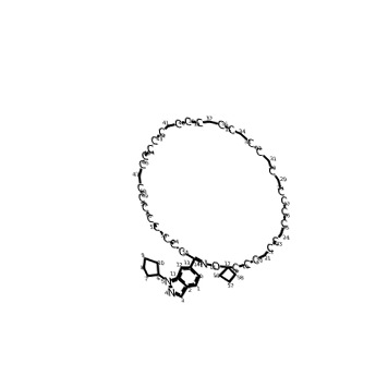 c1cc2cnn(C3CCCC3)c2cc1C1=NOC2(CCCCCCCCCCCCCCCCCCCCCCCCCCCCCCCCCCCCCC1)CCC2